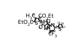 CCOC(=O)c1sc(NC(=O)c2nn3c(C(F)(F)F)cc(-c4cccs4)nc3c2Cl)c(C(=O)OCC)c1C